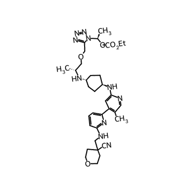 CCOC(=O)O[C@H](C)n1nnnc1COC[C@@H](C)N[C@H]1CC[C@H](Nc2cc(-c3cccc(NCC4(C#N)CCOCC4)n3)c(C)cn2)CC1